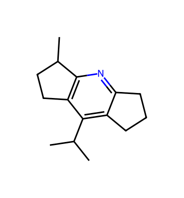 CC(C)c1c2c(nc3c1CCC3C)CCC2